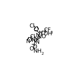 CC(OC(N)=O)c1nc(Cn2nc(-c3ccc(Cl)cc3)n(CC(O)C(F)(F)F)c2=O)nn1-c1cnccc1Cl